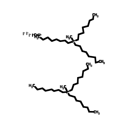 CCCCCCCC[P+](C)(CCCCCCCC)CCCCCCCC.CCCCCCCC[P+](C)(CCCCCCCC)CCCCCCCC.[Co+2].[I-].[I-].[I-].[I-]